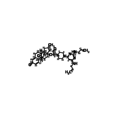 C=CCNc1cc(N2CCN(CC(=O)[C@H]3C(C)C[C@H]4[C@@H]5CCC6=CC(=O)C=C[C@]6(C)[C@H]5CC[C@]34C)CC2)nc(NCC=C)n1